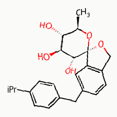 CC(C)c1ccc(Cc2ccc3c(c2)[C@]2(OC3)O[C@H](C)[C@@H](O)[C@H](O)[C@H]2O)cc1